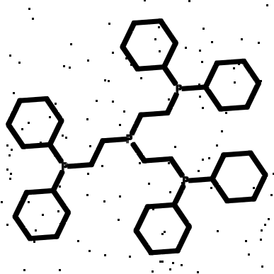 C1CCC(P(CCP(CCP(C2CCCCC2)C2CCCCC2)CCP(C2CCCCC2)C2CCCCC2)C2CCCCC2)CC1